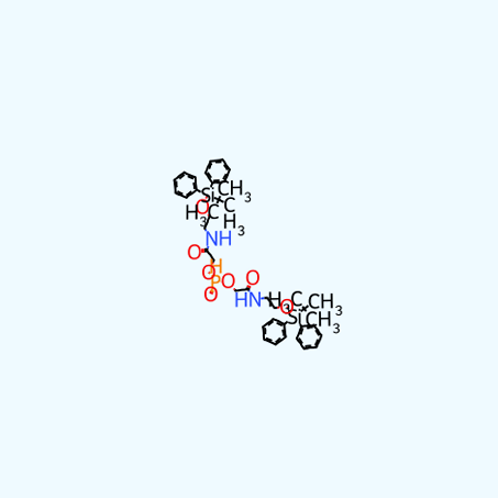 CC(C)(C)[Si](OCCNC(=O)CO[PH](=O)OCC(=O)NCCO[Si](c1ccccc1)(c1ccccc1)C(C)(C)C)(c1ccccc1)c1ccccc1